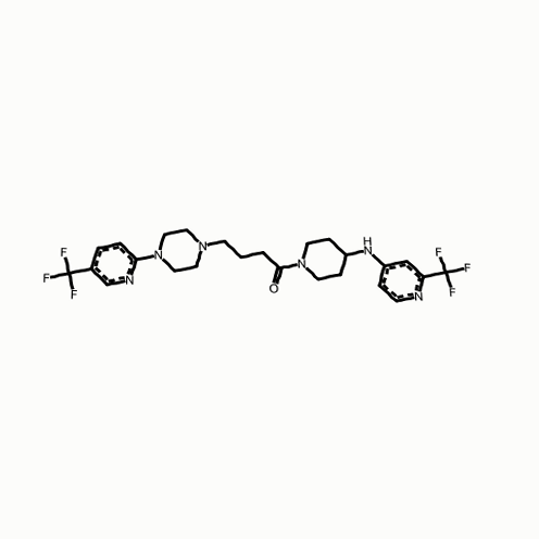 O=C(CCCN1CCN(c2ccc(C(F)(F)F)cn2)CC1)N1CCC(Nc2ccnc(C(F)(F)F)c2)CC1